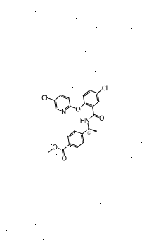 COC(=O)c1ccc([C@H](C)NC(=O)c2cc(Cl)ccc2Oc2ccc(Cl)cn2)cc1